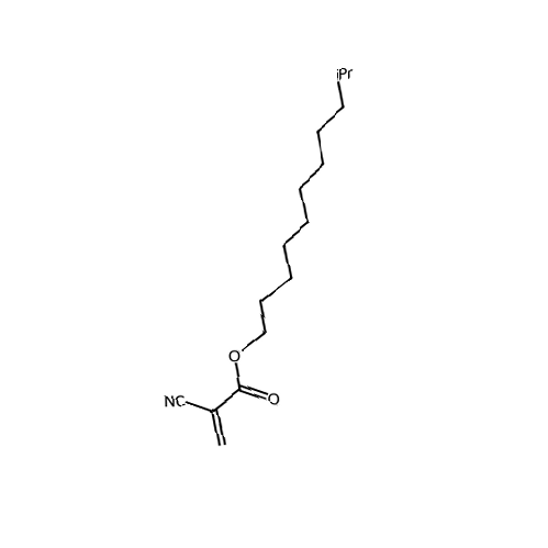 C=C(C#N)C(=O)OCCCCCCCCCC(C)C